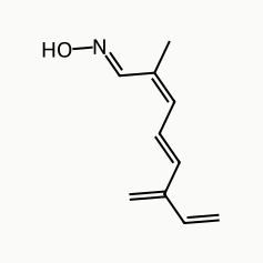 C=CC(=C)C=CC=C(C)C=NO